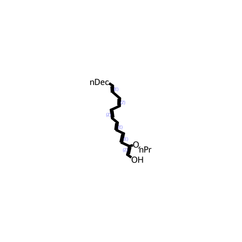 CCCCCCCCCC/C=C/C=C\C=C/C=C/C=C/C(=C/O)OCCC